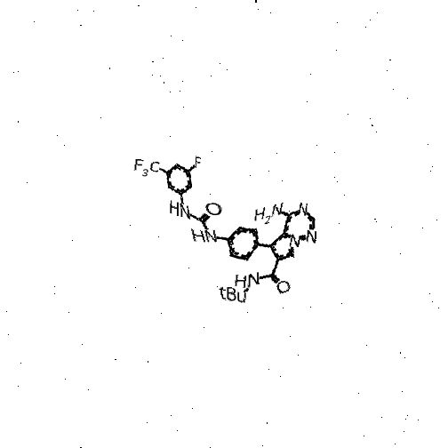 CC(C)(C)NC(=O)c1cn2ncnc(N)c2c1-c1ccc(NC(=O)Nc2cc(F)cc(C(F)(F)F)c2)cc1